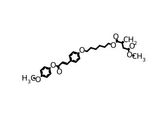 C=C(CC(=O)OC)C(=O)OCCCCCCOc1ccc(/C=C/C(=O)Oc2ccc(OC)cc2)cc1